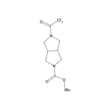 CC(C)(C)OC(=O)N1CC2CN(C(=O)C(F)(F)F)CC2C1